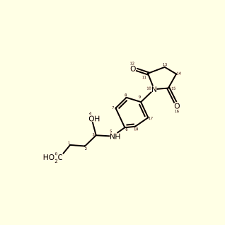 O=C(O)CCC(O)Nc1ccc(N2C(=O)CCC2=O)cc1